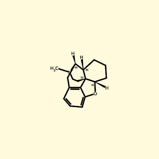 CN1CC[C@]23c4c5cccc4O[C@H]2CCC[C@H]3[C@H]1C5